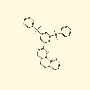 C[Si](C)(c1ccccc1)c1cc(-c2ccc3ccc4cccnc4c3n2)cc([Si](C)(C)c2ccccc2)c1